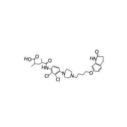 CC(CC(C)C(=O)Nc1ccc(N2CCN(CCCCOc3ccc4c(c3)NC(=O)CC4)CC2)c(Cl)c1Cl)C(=O)O